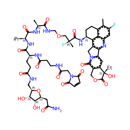 CC[C@@]1(O)C(=O)OCc2c1cc1n(c2=O)Cc2c-1nc1cc(F)c(C)c3c1c2[C@@H](NC(=O)[C@](C)(F)COCNC(=O)[C@H](C)NC(=O)[C@@H](NC(=O)[C@H](CCC(=O)NC[C@H]1O[C@@H](CC(N)=O)[C@H](O)[C@@H]1O)NC(=O)CCNC(=O)CN1C(=O)C=CC1=O)C(C)C)CC3